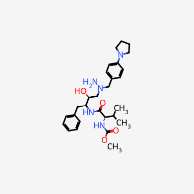 COC(=O)N[C@H](C(=O)N[C@@H](Cc1ccccc1)[C@@H](O)CN(N)Cc1ccc(N2CCCC2)cc1)C(C)C